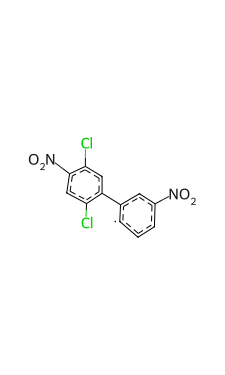 O=[N+]([O-])c1cc[c]c(-c2cc(Cl)c([N+](=O)[O-])cc2Cl)c1